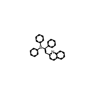 C(=C(B(c1ccccc1)c1ccccc1)c1ccccc1)c1ccc2ccccc2n1